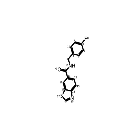 O=C(NCc1ccc(F)cc1)c1ccc2ncsc2c1